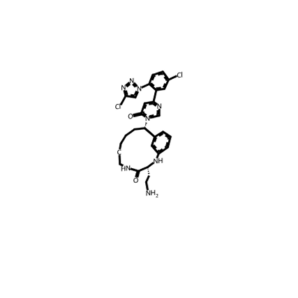 NCC[C@H]1Nc2cccc(c2)[C@@H](n2cnc(-c3cc(Cl)ccc3-n3cc(Cl)nn3)cc2=O)CCCCCNC1=O